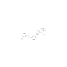 Cc1ccc(NC(=O)c2ccnc(C(C)(F)F)c2)cc1-c1cnc2c(c1)N1CCOCC1(N)C(F)(F)C2